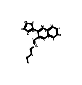 CCCCN=Cc1cc2ccccc2cc1C1=CC=CC1